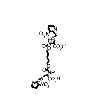 O=C(NC(CSSc1ncccc1[N+](=O)[O-])C(=O)O)OCCCCCOC(=O)NC(CSSc1ncccc1[N+](=O)[O-])C(=O)O